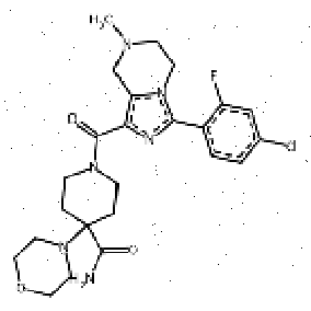 CN1CCn2c(-c3ccc(Cl)cc3F)nc(C(=O)N3CCC(C(N)=O)(N4CCOCC4)CC3)c2C1